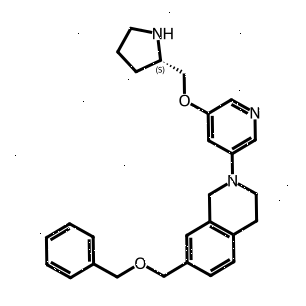 c1ccc(COCc2ccc3c(c2)CN(c2cncc(OC[C@@H]4CCCN4)c2)CC3)cc1